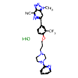 Cl.Cn1nnc2c(C#N)nc(-c3ccc(OCCCN4CCN(c5ccccn5)CC4)c(C(F)(F)F)c3)cc21